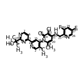 Cc1cnc(-c2ccnc(C(C)(C)O)n2)cc1-n1c(C)cc(NCc2ncc(F)cc2F)c(Cl)c1=O